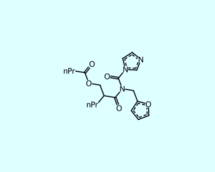 CCCC(=O)OCC(CCC)C(=O)N(Cc1ccco1)C(=O)n1ccnc1